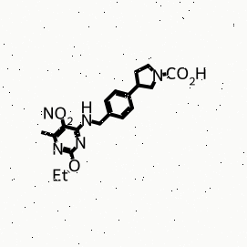 CCOc1nc(C)c([N+](=O)[O-])c(NCc2ccc(C3CCN(C(=O)O)C3)cc2)n1